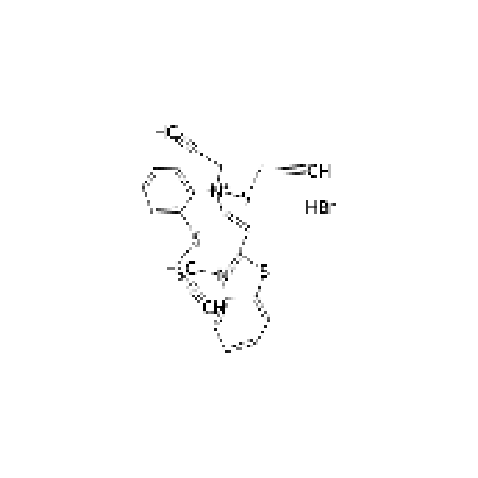 Br.C#CCSc1ccccc1[N+](C=Cc1sc2ccccc2[n+]1C)(CC#C)SCC#C